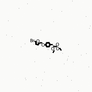 CCOC(=O)[C@@H](Cc1ccc(OCc2ccc(Br)o2)cc1)OCC